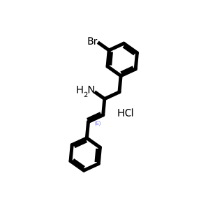 Cl.NC(/C=C/c1ccccc1)Cc1cccc(Br)c1